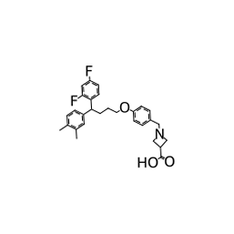 Cc1ccc(C(CCCOc2ccc(CN3CC(C(=O)O)C3)cc2)c2ccc(F)cc2F)cc1C